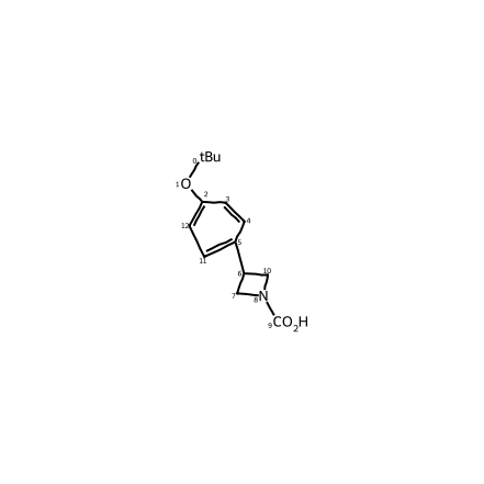 CC(C)(C)Oc1ccc(C2CN(C(=O)O)C2)cc1